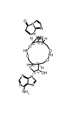 Nc1ncnc2c1ncn2[C@@H]1S[C@@H]2COPO[C@@H]3[C@H](O)[C@@H](COPOC[C@H]2[C@H]1O)O[C@H]3n1ccc(=O)n2ccnc12